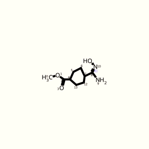 COC(=O)C1CCC(/C(N)=N\O)CC1